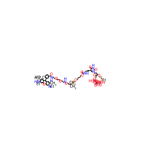 CC/N=c1/cc2oc3cc(NCC)c(C)cc3c(-c3cc(C(=O)NCCOCCOCCNOCCC(C)(C)SSCOCCCCOC(=O)NCC#Cc4cn(C5C[C@H](OCSSCC)[C@@H](COP(=O)(O)O[P@](=O)(O)OP(=O)(O)O)O5)c(=O)[nH]c4=O)ccc3C(=O)O)c-2cc1C